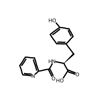 O=C(N[C@@H](Cc1ccc(O)cc1)C(=O)O)c1ccccn1